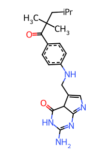 CC(C)CC(C)(C)C(=O)c1ccc(NCC2=CN=C3N=C(N)NC(=O)C23)cc1